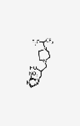 O=[N+]([O-])c1nccn1CC(O)CN1CCN(C(C(F)(F)F)C(F)(F)F)CC1